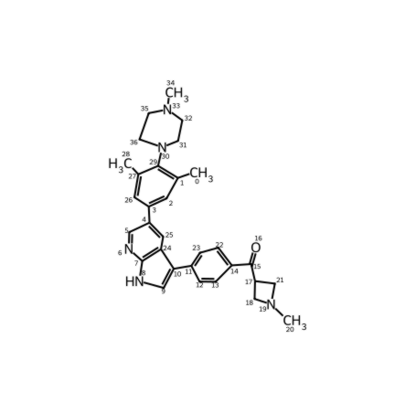 Cc1cc(-c2cnc3[nH]cc(-c4ccc(C(=O)C5CN(C)C5)cc4)c3c2)cc(C)c1N1CCN(C)CC1